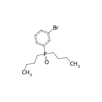 CCCCP(=O)(CCCC)c1cccc(Br)c1